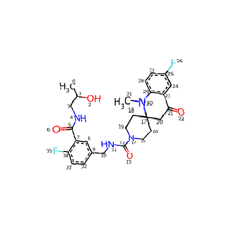 CC(O)CNC(=O)c1cc(CNC(=O)N2CCC3(CC2)CC(=O)c2cc(F)ccc2N3C)ccc1F